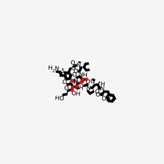 CCC(CC)[C@@H](C(=O)N[C@H](C(=O)N(C)[C@@H](C(C)CC)[C@@H](CC(=O)N1CCC[C@H]1[C@H](OC)[C@@H](C)C(=O)NC(Cc1ccccc1)C(=O)O)OC)C(C)C)N(C)C(=O)OCc1ccc(O[C@@H]2O[C@H](CCO)[C@H](O)[C@H](O)[C@H]2O)c2cc(CN)sc12